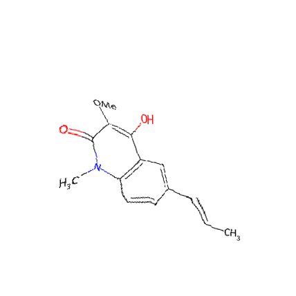 CC=Cc1ccc2c(c1)c(O)c(OC)c(=O)n2C